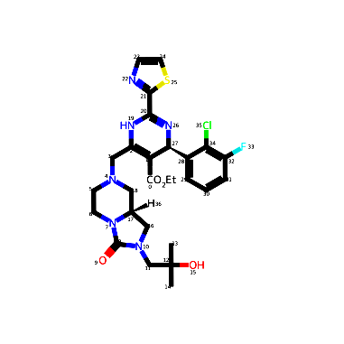 CCOC(=O)C1=C(CN2CCN3C(=O)N(CC(C)(C)O)C[C@H]3C2)NC(c2nccs2)=N[C@H]1c1cccc(F)c1Cl